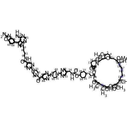 CO[C@H]1CC2CC[C@@H](C)C(O2)C(=O)C(=O)N2CCCC[C@H]2C(=O)O[C@H](CC[C@H]2CC[C@H](OC(=O)NCc3cnc(N4CCN(c5ncc(C(=O)N6CCN(c7ncc(C(=O)NCCCCn8nc(-c9ccc%10oc(N)nc%10c9)c9c(N)ncnc98)cn7)CC6)cn5)CC4)nc3)CC2)CC(=O)[C@H](C)/C=C(\C)[C@@H](O)CC(=O)[C@H](C)C[C@H](C)/C=C/C=C/C=C/1C